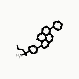 CCCC(C)(N)c1ccc(-c2ccc3ccc4c(-c5ccccc5)ccc5ccc2c3c54)cc1